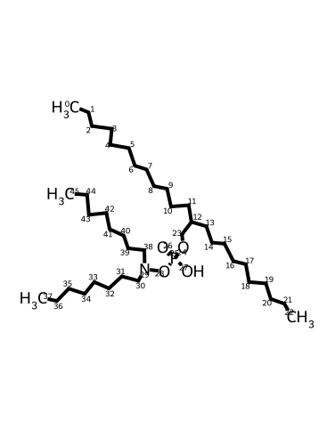 CCCCCCCCCCCCC(CCCCCCCCCC)COP(=O)(O)ON(CCCCCCCC)CCCCCCCC